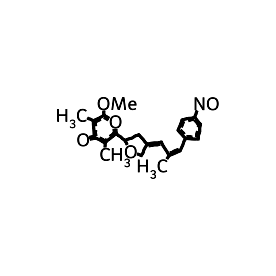 COc1oc(C2C/C(=C/C(C)=C\c3ccc(N=O)cc3)CO2)c(C)c(=O)c1C